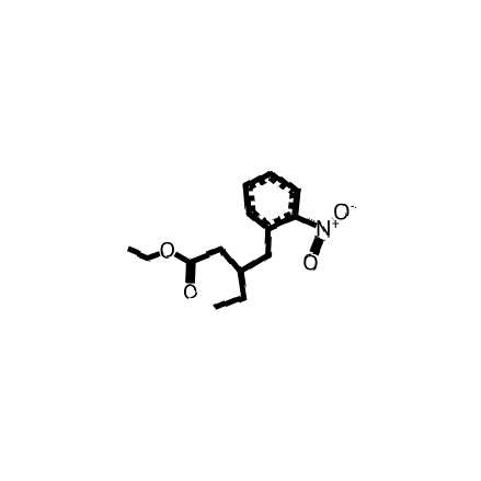 CCOC(=O)CC(CC)Cc1ccccc1[N+](=O)[O-]